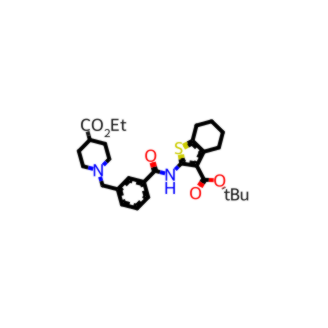 CCOC(=O)C1CCN(Cc2cccc(C(=O)Nc3sc4c(c3C(=O)OC(C)(C)C)CCCC4)c2)CC1